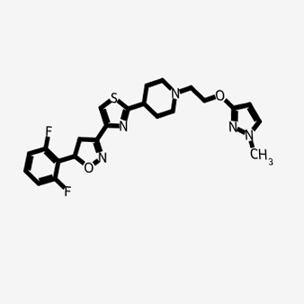 Cn1ccc(OCCN2CCC(c3nc(C4=NOC(c5c(F)cccc5F)C4)cs3)CC2)n1